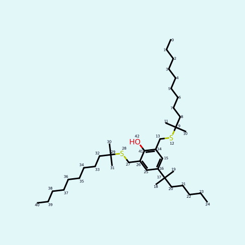 CCCCCCCCCC(C)(C)SCc1cc(C(C)(C)CCCCC)cc(CSC(C)(C)CCCCCCCCC)c1O